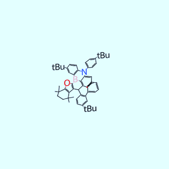 Cc1cc2c3c(c1)N(c1ccc(C(C)(C)C)cc1)c1ccc(C(C)(C)C)cc1B3c1oc3c(c1C2c1ccc(C(C)(C)C)cc1-c1ccccc1)C(C)(C)CCC3(C)C